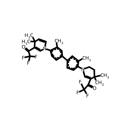 Cc1cc(-c2ccc(N3C=C(C(=O)C(F)(F)F)C(C)(C)CC3)c(C)c2)ccc1N1C=CC(C)(C)C(C(=O)C(F)(F)F)=C1